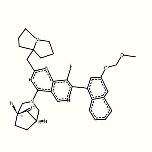 COCOc1cc(-c2ncc3c(N4C[C@H]5CC[C@@H](C4)C5=O)nc(CC45CCCN4CCC5)nc3c2F)c2ccccc2c1